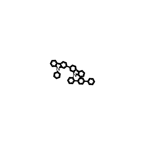 c1ccc(-c2ccc(-c3ccccc3-n3c4ccccc4c4ccc(-c5ccc6c7ccccc7n(-c7ccccc7)c6c5)cc43)cc2)cc1